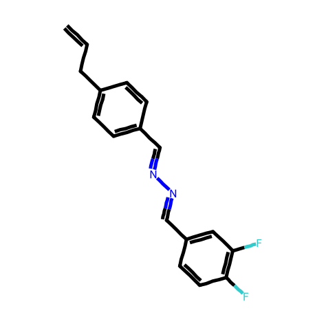 C=CCc1ccc(/C=N/N=C/c2ccc(F)c(F)c2)cc1